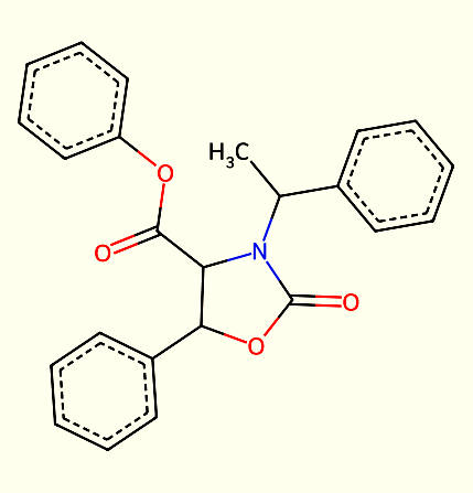 CC(c1ccccc1)N1C(=O)OC(c2ccccc2)C1C(=O)Oc1ccccc1